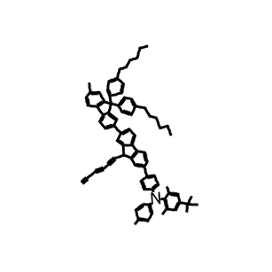 C#CC#CC#CC1c2cc(-c3ccc(N(c4ccc(C)cc4)c4c(C)cc(C(C)(C)C)cc4C)cc3)ccc2-c2ccc(-c3ccc4c(c3)C(c3ccc(CCCCCC)cc3)(c3ccc(CCCCCC)cc3)c3cc(C)ccc3-4)cc21